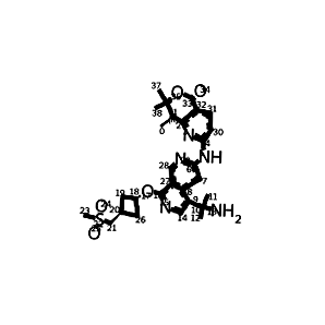 C[C@@H]1c2nc(Nc3cc4c(C(C)(C)N)cnc(O[C@H]5C[C@H](CS(C)(=O)=O)C5)c4cn3)ccc2C(=O)OC1(C)C